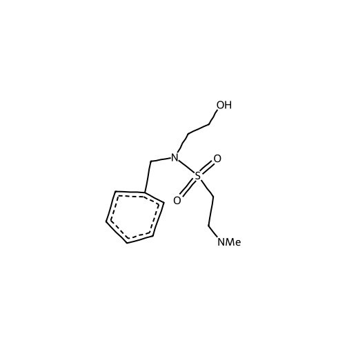 CNCCS(=O)(=O)N(CCO)Cc1ccccc1